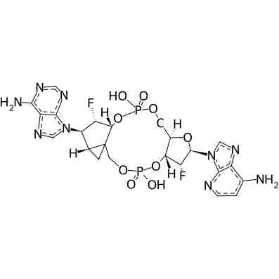 Nc1ncnc2c1ncn2[C@H]1[C@H](F)[C@@H]2OP(=O)(O)OC[C@H]3O[C@@H](n4cnc5c(N)ccnc54)[C@H](F)[C@@H]3OP(=O)(O)OCC23C[C@H]13